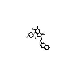 CN1CCN(c2c3c(cn(C)c2=O)C(=O)N(CCc2ccc4ccccc4n2)C3=O)CC1